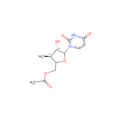 CC(=O)OCC1OC(n2ccc(=O)[nH]c2=O)[C@@H](O)[C@@H]1C